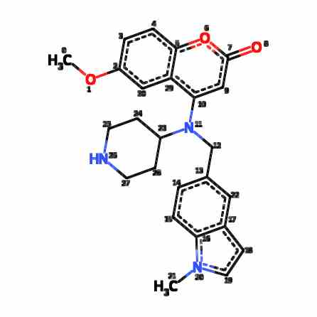 COc1ccc2oc(=O)cc(N(Cc3ccc4c(ccn4C)c3)C3CCNCC3)c2c1